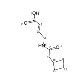 O=C(O)C=CCNC(=O)CC1CCC1